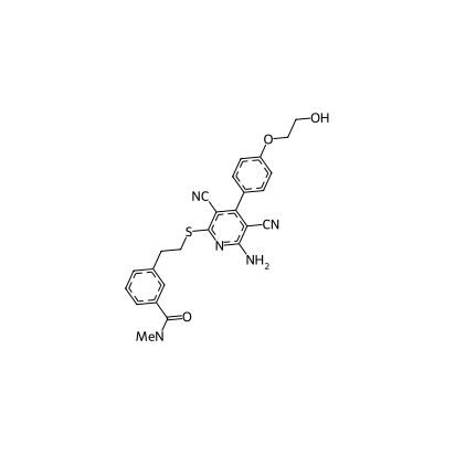 CNC(=O)c1cccc(CCSc2nc(N)c(C#N)c(-c3ccc(OCCO)cc3)c2C#N)c1